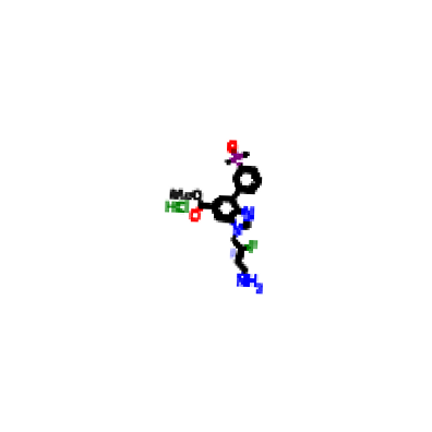 COC(=O)c1cc(-c2cccc(P(C)(C)=O)c2)c2ncn(C/C(F)=C/CN)c2c1.Cl